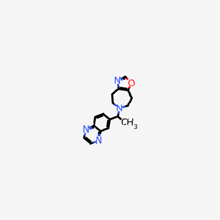 CC(c1ccc2nccnc2c1)N1CCc2ncoc2CC1